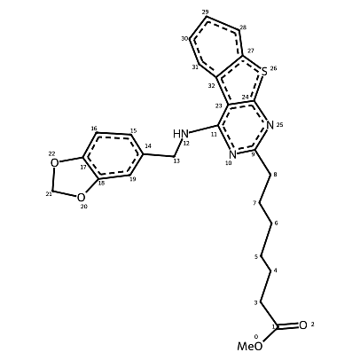 COC(=O)CCCCCCc1nc(NCc2ccc3c(c2)OCO3)c2c(n1)sc1ccccc12